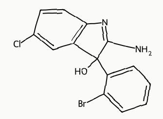 NC1=Nc2ccc(Cl)cc2C1(O)c1ccccc1Br